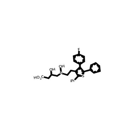 CC(C)c1sc(-c2ccccc2)c(-c2ccc(F)cc2)c1CCN(O)CC(O)CC(=O)O